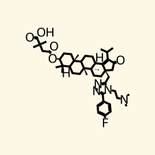 CC(C)C1=C2[C@H]3CCC4[C@@]5(C)CC[C@H](OC(=O)CC(C)(C)C(=O)O)C(C)(C)[C@@H]5CC[C@@]4(C)[C@]3(C)CC[C@@]2(Cc2nnc(-c3ccc(F)cc3)n2CCN(C)C)CC1=O